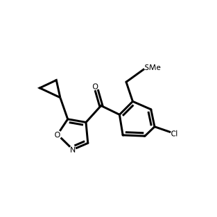 CSCc1cc(Cl)ccc1C(=O)c1cnoc1C1CC1